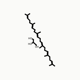 CC(C)=CCC/C(C)=C/CC/C(C)=C/CC/C=C(\C)CC/C=C(\C)CCC=C(C)C.OCC(O)CO